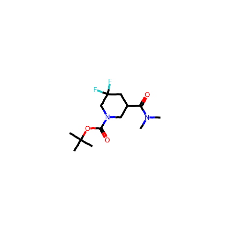 CN(C)C(=O)C1CN(C(=O)OC(C)(C)C)CC(F)(F)C1